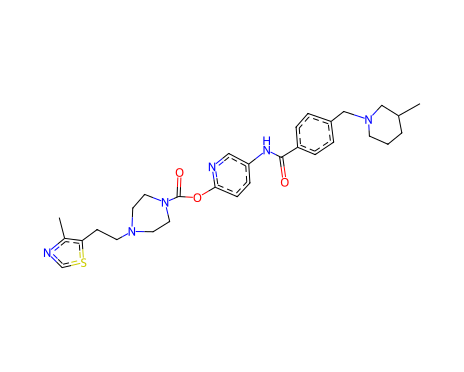 Cc1ncsc1CCN1CCN(C(=O)Oc2ccc(NC(=O)c3ccc(CN4CCCC(C)C4)cc3)cn2)CC1